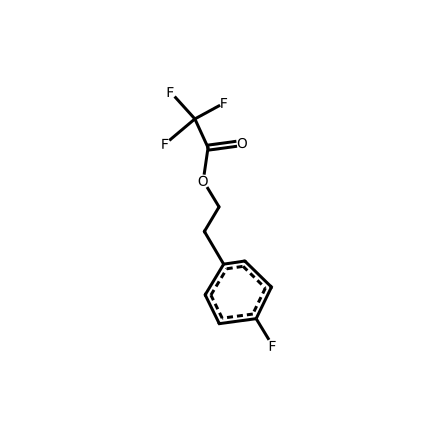 O=C(OCCc1ccc(F)cc1)C(F)(F)F